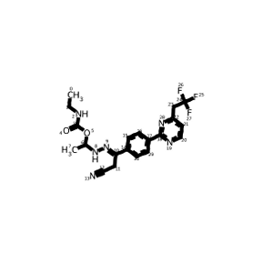 CCNC(=O)OC(C)N/N=C(\CC#N)c1ccc(-c2nccc(CC(F)(F)F)n2)cc1